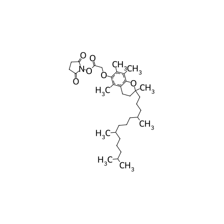 Cc1c(C)c2c(c(C)c1OCC(=O)ON1C(=O)CCC1=O)CCC(C)(CCCC(C)CCCC(C)CCCC(C)C)O2